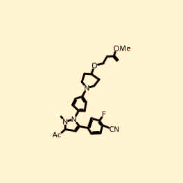 C=C(CCOC1CCN(c2ccc(N3C(c4ccc(C#N)c(F)c4)=CC(C(C)=O)N3C)cc2)CC1)OC